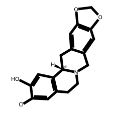 Oc1cc2c(cc1Cl)CCN1Cc3cc4c(cc3C[C@@H]21)OCO4